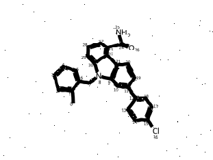 Cc1ccccc1Cn1c2cc(-c3ccc(Cl)cc3)c[c]c2c2c(C(N)=O)cccc21